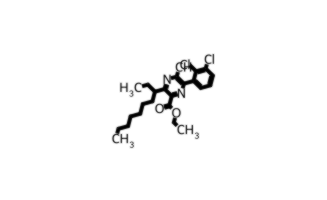 CCCCCCCC(CC)c1nc(C)c(-c2cccc(Cl)c2Cl)nc1C(=O)OCC